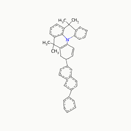 CC1(C)C2=C(C=CC(c3ccc4cc(-c5ccccc5)ccc4c3)C2)N2c3ccccc3C(C)(C)c3cccc1c32